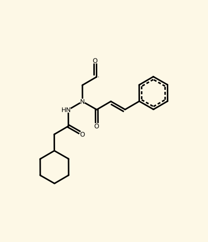 O=[C]CN(NC(=O)CC1CCCCC1)C(=O)C=Cc1ccccc1